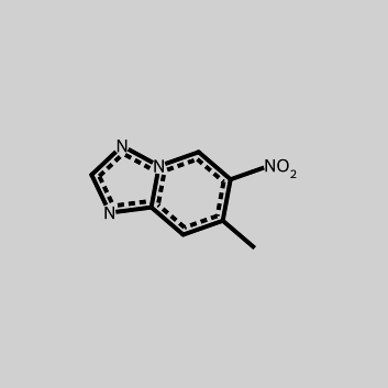 Cc1cc2ncnn2cc1[N+](=O)[O-]